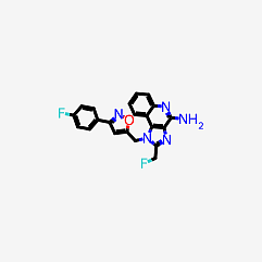 Nc1nc2ccccc2c2c1nc(CF)n2Cc1cc(-c2ccc(F)cc2)no1